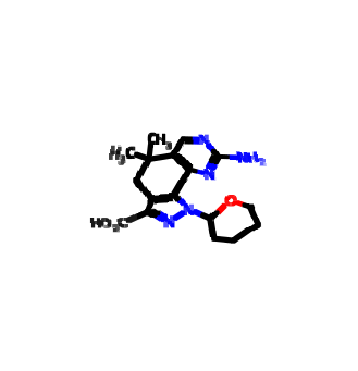 CC1(C)Cc2c(C(=O)O)nn(C3CCCCO3)c2-c2nc(N)ncc21